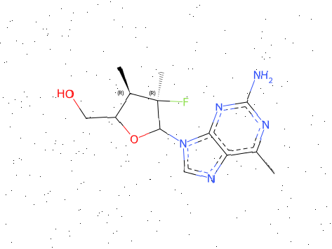 Cc1nc(N)nc2c1ncn2C1OC(CO)[C@@H](C)[C@@]1(C)F